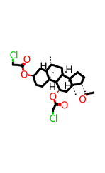 CC(=O)[C@H]1CC[C@H]2[C@@H]3C[C@@H](C)[C@H]4C[C@H](OC(=O)CCl)CC[C@]4(C)[C@H]3[C@@H](OC(=O)CCl)C[C@]12C